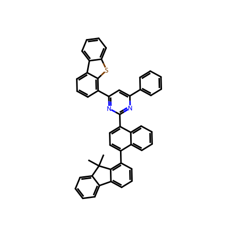 CC1(C)c2ccccc2-c2cccc(-c3ccc(-c4nc(-c5ccccc5)cc(-c5cccc6c5sc5ccccc56)n4)c4ccccc34)c21